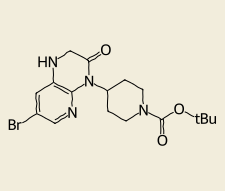 CC(C)(C)OC(=O)N1CCC(N2C(=O)CNc3cc(Br)cnc32)CC1